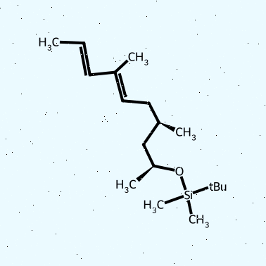 C/C=C/C(C)=C/C[C@@H](C)C[C@H](C)O[Si](C)(C)C(C)(C)C